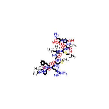 C=CCSCC(NC(=O)C(NC(=O)CNC(=O)C(CCSC)NC(=O)C(CCCNC(=N)N)NC(=O)C(Cc1ccccc1)NC(=O)C1CCCN1C(=O)C(C)NC)C(C)CC)C(=O)NC(C(=O)NC(C(=O)NC(CC(N)=O)C(=O)O)C(C)O)C(C)O